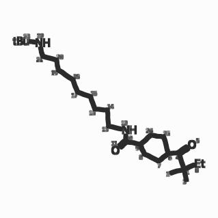 CCC(C)(C)C(=O)C1CCC(C(=O)NCCCCCCCCCNC(C)(C)C)CC1